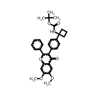 COc1cc2oc(-c3ccccc3)c(-c3ccc(C4(NC(=O)OC(C)(C)C)CCC4)cc3)c(=O)c2cc1OC